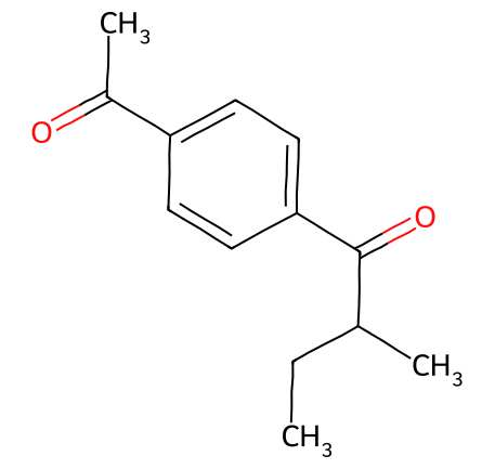 CCC(C)C(=O)c1ccc(C(C)=O)cc1